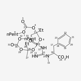 CCCCCOC(=O)OC(C)(CC)OP(=O)(NC(=N)N(C)C(Cc1ccccc1)C(=O)O)OC(C)(CC)OC(=O)OCCCCC